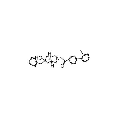 Cc1ccccc1-c1ccc(C(=O)CN2C[C@@H]3C[C@](O)(Cc4ccccc4)C[C@@H]3C2)cc1